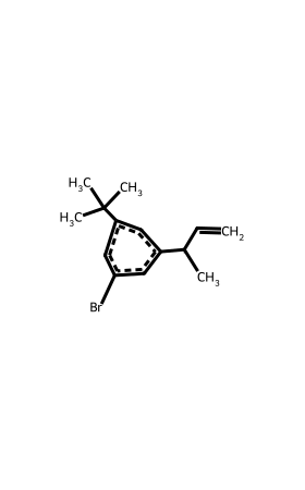 C=C[C](C)c1cc(Br)cc(C(C)(C)C)c1